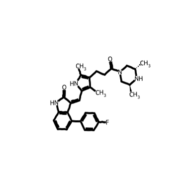 Cc1[nH]c(C=C2C(=O)Nc3cccc(-c4ccc(F)cc4)c32)c(C)c1CCC(=O)N1C[C@H](C)N[C@@H](C)C1